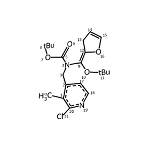 Cc1c(CN(C(=O)OC(C)(C)C)C(OC(C)(C)C)=C2CC=CO2)ccnc1Cl